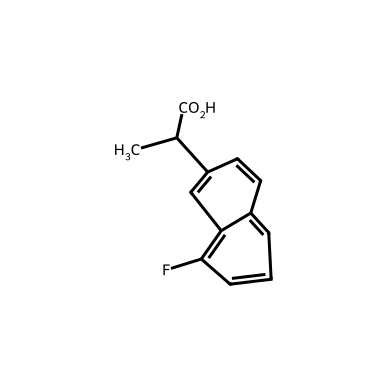 CC(C(=O)O)c1ccc2cccc(F)c2c1